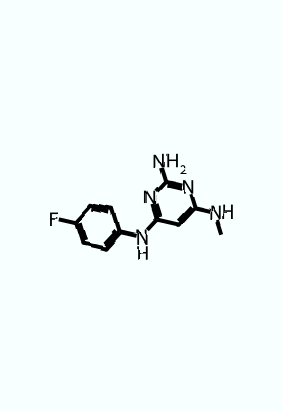 CNc1cc(Nc2ccc(F)cc2)nc(N)n1